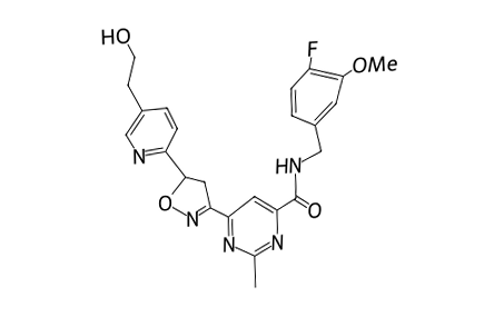 COc1cc(CNC(=O)c2cc(C3=NOC(c4ccc(CCO)cn4)C3)nc(C)n2)ccc1F